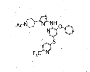 CC(=O)N1CCC(c2csc(Nc3ncc(Sc4ccc(C(F)(F)F)nc4)cc3Oc3ccccc3)n2)CC1